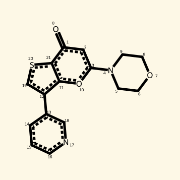 O=c1cc(N2CCOCC2)oc2c(-c3cccnc3)csc12